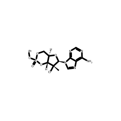 CC(C)OP1(=O)OC[C@H]2O[C@@H](n3cnc4c(N)ncnc43)[C@](C)(Cl)[C@@H]2O1